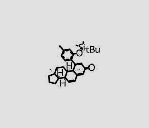 Cc1ccc(C2CC(=O)C=C3C=C[C@H]4[C@@H]5CCC[C@@]5(C)CC[C@@H]4[C@]32C)c(O[Si](C)(C)C(C)(C)C)c1